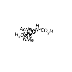 CNc1sc(NC(=O)c2ccc(NCCC(=O)O)cc2NC(C)=O)nc1C